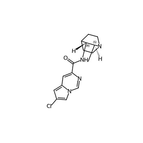 C[C@H]1[C@H](NC(=O)c2cc3cc(Cl)cn3cn2)C2CCN1CC2